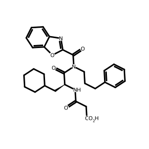 O=C(O)CC(=O)N[C@@H](CC1CCCCC1)C(=O)N(CCCc1ccccc1)C(=O)c1nc2ccccc2o1